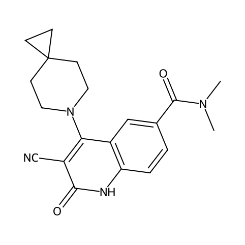 CN(C)C(=O)c1ccc2[nH]c(=O)c(C#N)c(N3CCC4(CC3)CC4)c2c1